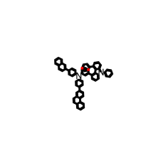 c1ccc(-c2cccc3c2c2c(-c4cccc(N(c5ccc(-c6ccc7ccccc7c6)cc5)c5ccc(-c6ccc7c(ccc8ccccc87)c6)cc5)c4)cccc2n3-c2ccccc2)cc1